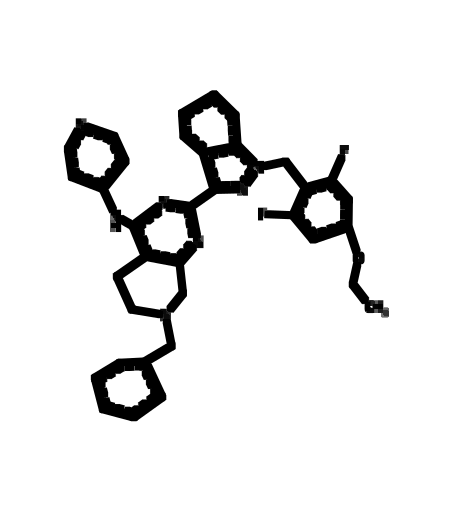 CCOc1cc(F)c(Cn2nc(-c3nc4c(c(Nc5ccncc5)n3)CCN(Cc3ccccc3)C4)c3ccccc32)c(F)c1